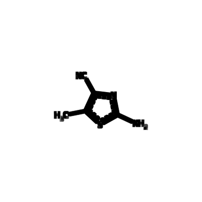 Cc1sc(N)nc1C#N